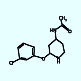 CC(=O)NC1CCNC(Oc2cccc(Cl)c2)C1